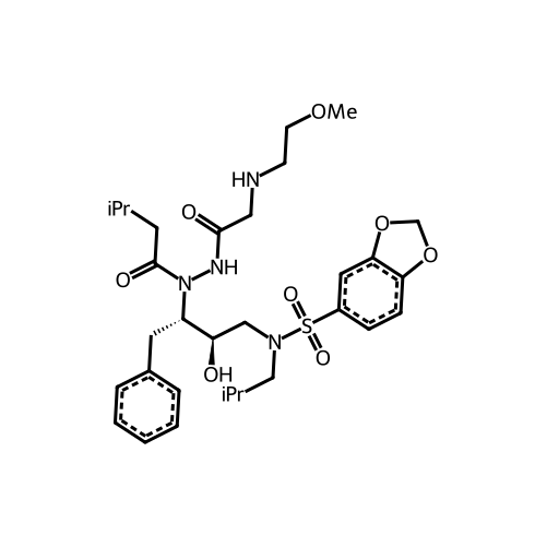 COCCNCC(=O)NN(C(=O)CC(C)C)[C@@H](Cc1ccccc1)[C@H](O)CN(CC(C)C)S(=O)(=O)c1ccc2c(c1)OCO2